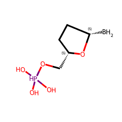 B[C@H]1CC[C@@H](CO[PH](O)(O)O)O1